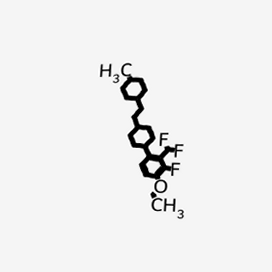 CCOc1ccc(C2CCC(CCC3CCC(C)CC3)CC2)c(C(F)F)c1F